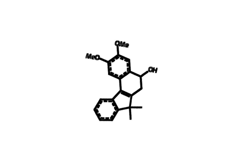 COc1cc2c(cc1OC)C(O)CC1=C2c2ccccc2C1(C)C